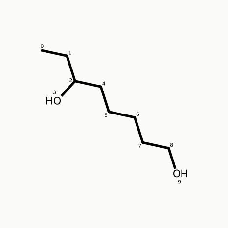 CCC(O)CCCCCO